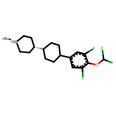 CCCC[Si@H]1CC[C@H](C2CCC(c3cc(F)c(OC(F)F)c(F)c3)CC2)CC1